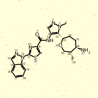 Cn1ncc(NC(=O)c2csc(-n3ncc4ccccc43)n2)c1[C@@H]1CC[C@@H](N)[C@H](F)CO1